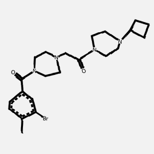 Cc1ccc(C(=O)N2CCN(CC(=O)N3CCN(C4CCC4)CC3)CC2)cc1Br